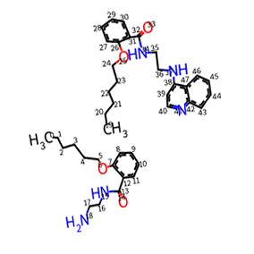 CCCCCCOc1ccccc1C(=O)NCCN.CCCCCCOc1ccccc1C(=O)NCCNc1ccnc2ccccc12